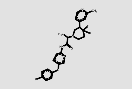 Cc1cc(C2CN(C(C)C(=O)Nc3ccc(Oc4ccc(F)cc4)cn3)CCC2(F)F)ccn1